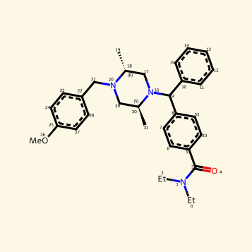 CCN(CC)C(=O)c1ccc(C(c2ccccc2)N2C[C@@H](C)N(Cc3ccc(OC)cc3)C[C@@H]2C)cc1